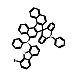 Fc1cccc2c1oc1c(N(c3ccccc3)c3cc4c(c5ccccc35)-c3c(ccc5ccccc35)C43c4ccccc4N(c4ccccc4)c4ccccc43)cccc12